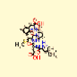 CSCC[C@H](NC(=O)[C@H](CCC(=O)O)NC(=O)[C@@H](N)CC(C)C)C(=O)N1CCC[C@H]1C(=O)N[C@@H](Cc1ccccc1)C(=O)O